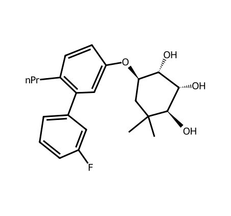 CCCc1ccc(O[C@@H]2CC(C)(C)[C@H](O)[C@@H](O)[C@H]2O)cc1-c1cccc(F)c1